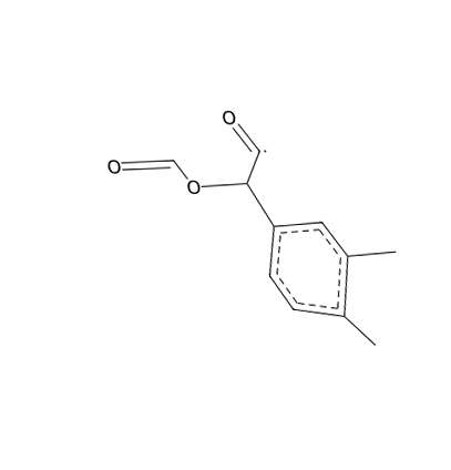 Cc1ccc(C([C]=O)OC=O)cc1C